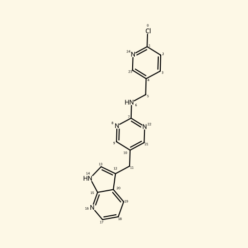 Clc1ccc(CNc2ncc(Cc3c[nH]c4ncccc34)cn2)cn1